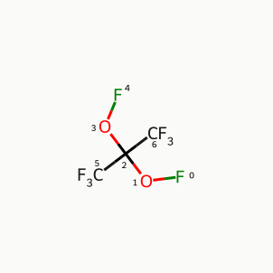 FOC(OF)(C(F)(F)F)C(F)(F)F